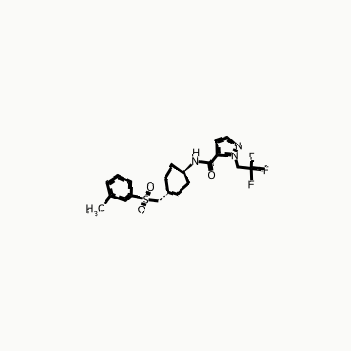 Cc1cccc(S(=O)(=O)C[C@H]2CC[C@H](NC(=O)c3ccnn3CC(F)(F)F)CC2)c1